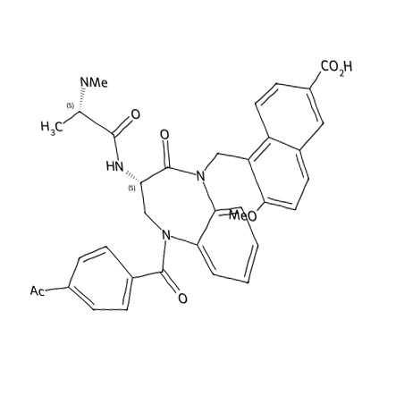 CN[C@@H](C)C(=O)N[C@H]1CN(C(=O)c2ccc(C(C)=O)cc2)c2ccccc2N(Cc2c(OC)ccc3cc(C(=O)O)ccc23)C1=O